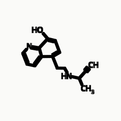 C#CC(C)NCCc1ccc(O)c2ncccc12